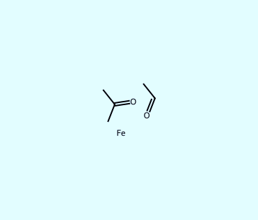 CC(C)=O.CC=O.[Fe]